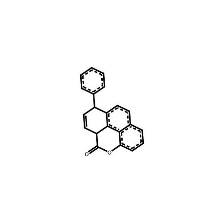 O=C1Oc2cccc3ccc4c(c23)C1C=CC4c1ccccc1